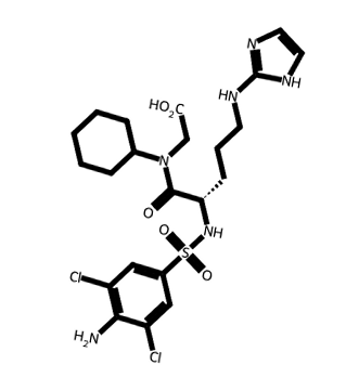 Nc1c(Cl)cc(S(=O)(=O)N[C@@H](CCCNc2ncc[nH]2)C(=O)N(CC(=O)O)C2CCCCC2)cc1Cl